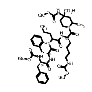 CC1CC(NC(=O)OC(C)(C)C)(C(=O)O)CCN1C(=O)[C@@H](CCCCNC(=O)OC(C)(C)C)NC(=O)C(CCC(F)(F)F)NC(=O)[C@@H](Cc1ccccc1)NC(=O)[C@@H](Cc1ccccc1)NC(=O)OC(C)(C)C